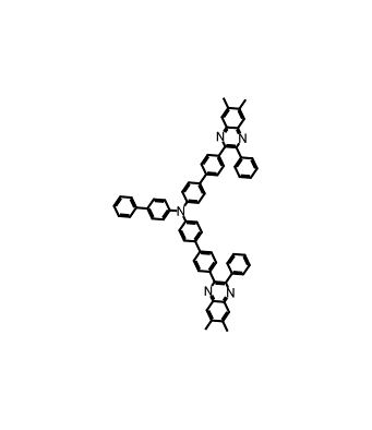 Cc1cc2nc(-c3ccccc3)c(-c3ccc(-c4ccc(N(c5ccc(-c6ccccc6)cc5)c5ccc(-c6ccc(-c7nc8cc(C)c(C)cc8nc7-c7ccccc7)cc6)cc5)cc4)cc3)nc2cc1C